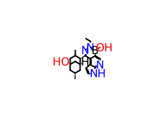 CCN1N=C([C@@H]2C(C)C[C@]3(O)C[C@H](C)C[C@H]2C3)c2c(cnc3[nH]ccc23)B1O